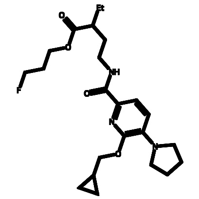 CCC(CCNC(=O)c1ccc(N2CCCC2)c(OCC2CC2)n1)C(=O)OCCCF